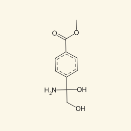 COC(=O)c1ccc(C(N)(O)CO)cc1